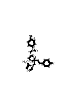 Cc1cncn1C[C@@]1(CCc2ccc(Cl)cc2)OC[C@@H](C[S+]([O-])c2ccc(N)cc2)O1